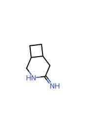 N=C1CC2CCC2CN1